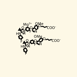 COc1cc2c(Oc3ccc(NC(=O)C4(C(=O)Nc5ccc(F)cc5)CC4)cc3F)ccnc2cc1OCCCCC(=O)[O-].COc1cc2c(Oc3ccc(NC(=O)C4(C(=O)Nc5ccc(F)cc5)CC4)cc3F)ccnc2cc1OCCCCC(=O)[O-].[Mg+2]